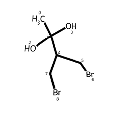 CC(O)(O)C(CBr)CBr